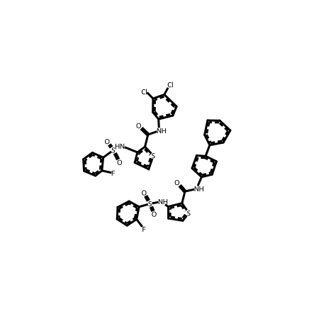 O=C(Nc1ccc(-c2ccccc2)cc1)c1sccc1NS(=O)(=O)c1ccccc1F.O=C(Nc1ccc(Cl)c(Cl)c1)c1sccc1NS(=O)(=O)c1ccccc1F